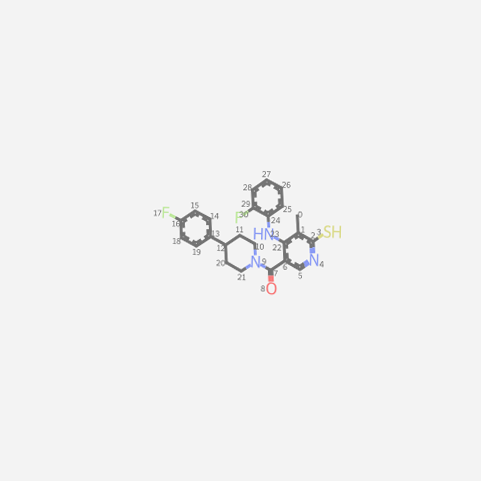 Cc1c(S)ncc(C(=O)N2CCC(c3ccc(F)cc3)CC2)c1Nc1ccccc1F